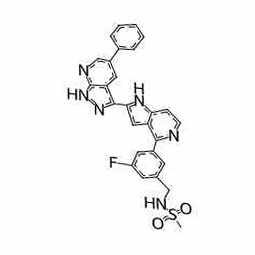 CS(=O)(=O)NCc1cc(F)cc(-c2nccc3[nH]c(-c4n[nH]c5ncc(-c6ccccc6)cc45)cc23)c1